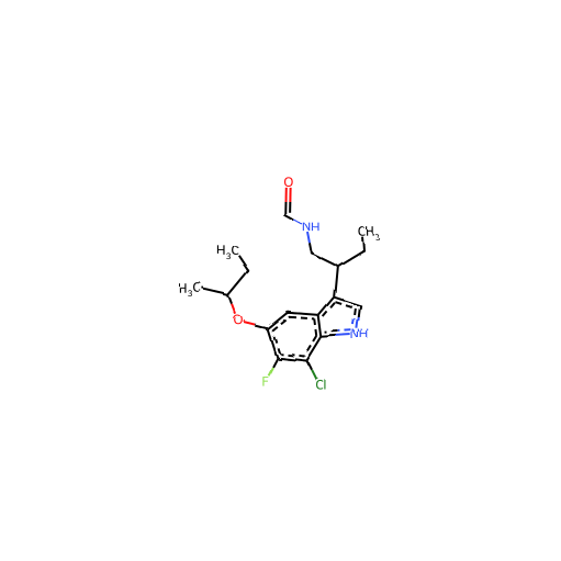 CCC(C)Oc1cc2c(C(CC)CNC=O)c[nH]c2c(Cl)c1F